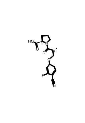 C[C@H](COC1C=C(F)C(C#N)=CC1)C(=O)N1CCC[C@@H]1C(=O)O